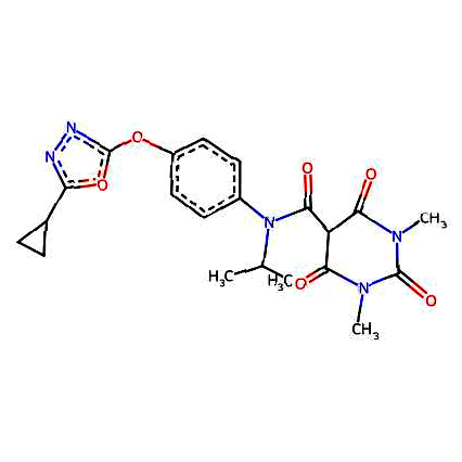 CC(C)N(C(=O)C1C(=O)N(C)C(=O)N(C)C1=O)c1ccc(Oc2nnc(C3CC3)o2)cc1